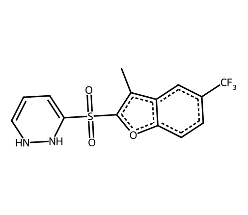 Cc1c(S(=O)(=O)C2=CC=CNN2)oc2ccc(C(F)(F)F)cc12